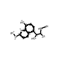 CCC(NC(C)C)C(O)c1ccc(O)c2nc(OC(C)C)ccc12